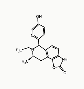 C[C@@H]1Cc2c(ccc3[nH]c(=O)oc23)C(c2ccc(O)cn2)N1CC(F)(F)F